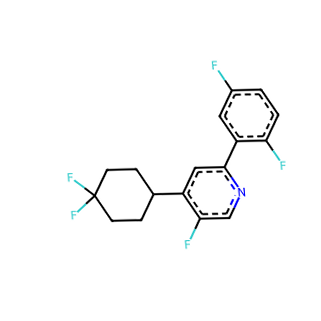 Fc1ccc(F)c(-c2cc(C3CCC(F)(F)CC3)c(F)cn2)c1